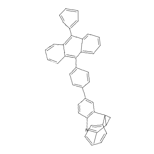 CC1=Nc2ccc(-c3ccc(-c4c5ccccc5c(-c5ccccc5)c5ccccc45)cc3)cc2C2(c3ccccc3)CC12